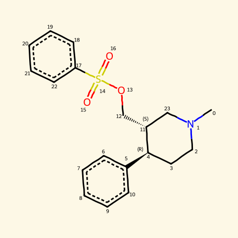 CN1CC[C@@H](c2ccccc2)[C@H](COS(=O)(=O)c2ccccc2)C1